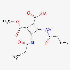 CCC(=O)NC1C(NC(=O)CC)C(C(=O)OC)C1C(=O)O